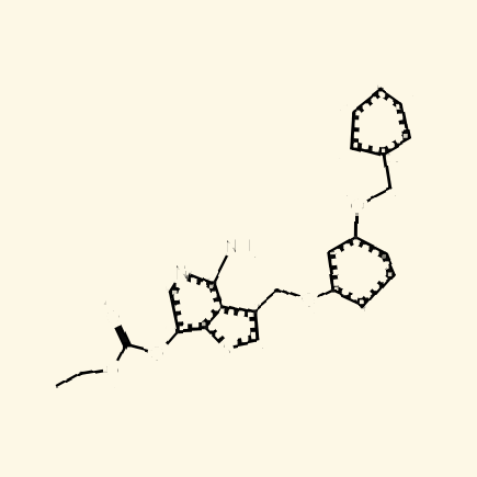 CCOC(=O)Oc1cnc(N)c2c(COc3cccc(OCc4ccccc4)c3)csc12